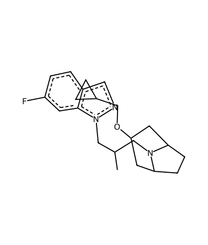 CC(CN1C2CCC1CC(OCC1CC1)C2)Cn1ncc2ccc(F)cc21